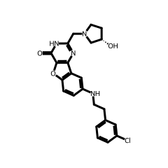 O=c1[nH]c(CN2CC[C@H](O)C2)nc2c1oc1ccc(NCCc3cccc(Cl)c3)cc12